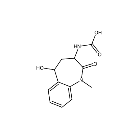 CN1C(=O)C(NC(=O)O)CC(O)c2ccccc21